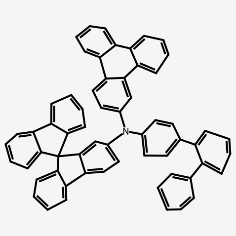 c1ccc(-c2ccccc2-c2ccc(N(c3ccc4c(c3)C3(c5ccccc5-c5ccccc53)c3ccccc3-4)c3ccc4c5ccccc5c5ccccc5c4c3)cc2)cc1